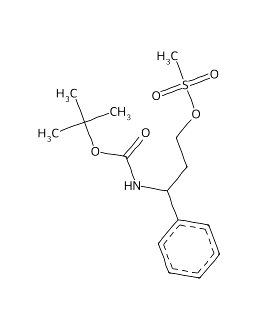 CC(C)(C)OC(=O)NC(CCOS(C)(=O)=O)c1ccccc1